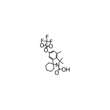 Cc1cc(OS(=O)(=O)C(F)(F)F)cc2c1C(C)(C)N(C(=O)O)C21CCCCC1